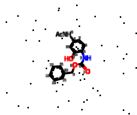 CC(=O)Nc1ccc(NC(=O)OCc2ccccc2)c(O)c1